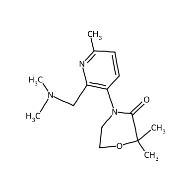 Cc1ccc(N2CCOC(C)(C)C2=O)c(CN(C)C)n1